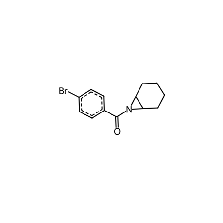 O=C(c1ccc(Br)cc1)N1C2CCCCC21